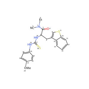 CCN(C#N)C(=O)C(Cc1csc2ccccc12)NC(=S)Nc1ccc(OC)cc1